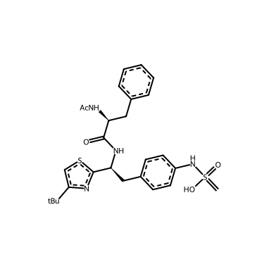 C=S(=O)(O)Nc1ccc(C[C@H](NC(=O)[C@H](Cc2ccccc2)NC(C)=O)c2nc(C(C)(C)C)cs2)cc1